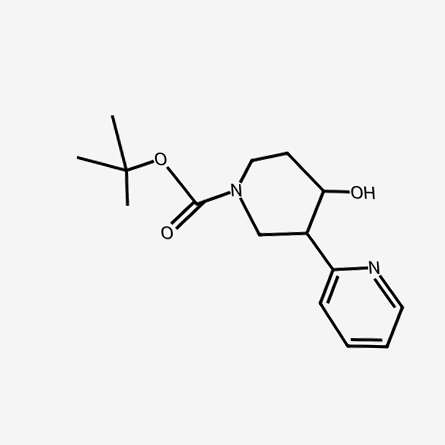 CC(C)(C)OC(=O)N1CCC(O)C(c2ccccn2)C1